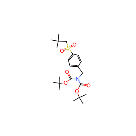 CC(C)(C)CS(=O)(=O)c1ccc(CN(C(=O)OC(C)(C)C)C(=O)OC(C)(C)C)cc1